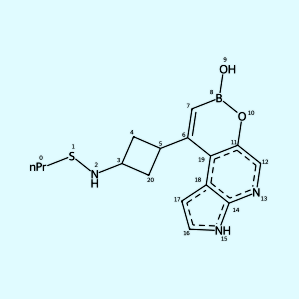 CCCSNC1CC(C2=CB(O)Oc3cnc4[nH]ccc4c32)C1